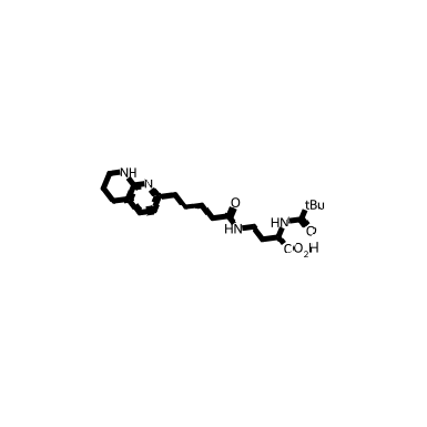 CC(C)(C)C(=O)NC(CCNC(=O)CCCCc1ccc2c(n1)NCCC2)C(=O)O